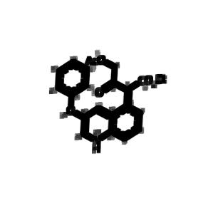 CCOC(=O)C(C(=O)COC(C)=O)=c1cccc2c1=CC(Oc1ccccc1)=CN2